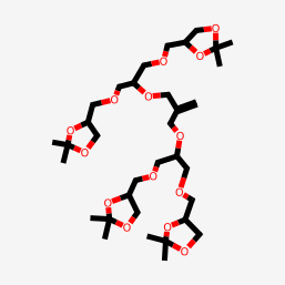 C=C(COC(COCC1COC(C)(C)O1)COCC1COC(C)(C)O1)COC(COCC1COC(C)(C)O1)COCC1COC(C)(C)O1